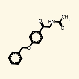 CC(=O)NCC(=O)c1ccc(OCc2ccccc2)cc1